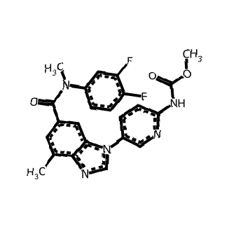 COC(=O)Nc1ccc(-n2cnc3c(C)cc(C(=O)N(C)c4ccc(F)c(F)c4)cc32)cn1